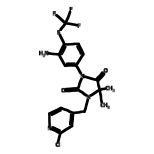 CC1(C)C(=O)N(c2ccc(SC(F)(F)F)c(N)c2)C(=O)N1Cc1ccnc(Cl)c1